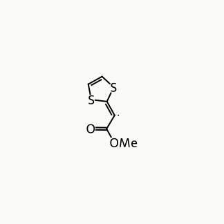 COC(=O)[C]=C1SC=CS1